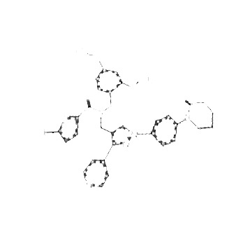 COc1ccc(CN(Cc2cn(-c3ccc(N4CCCCC4=O)cc3)nc2-c2ccncc2)C(=O)c2ccc(Cl)s2)c(OC)c1